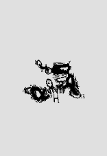 COCCOc1cccc(-c2cnc(OC)c3nc(NC(=O)N4CCC5(CCOCC5)C4)sc23)c1